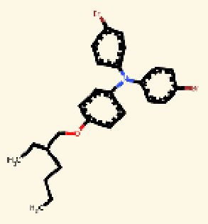 CCCCC(CC)COc1ccc(N(c2ccc(Br)cc2)c2ccc(Br)cc2)cc1